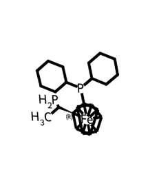 CC(P)[C@@]12[CH]3[CH]4[CH]5[C]1(P(C1CCCCC1)C1CCCCC1)[Fe]45321678[CH]2[CH]1[CH]6[CH]7[CH]28